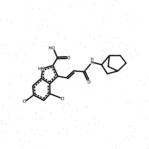 O=C(C=Cc1c(C(=O)O)[nH]c2cc(Cl)cc(Cl)c12)NC1CC2CCC1C2